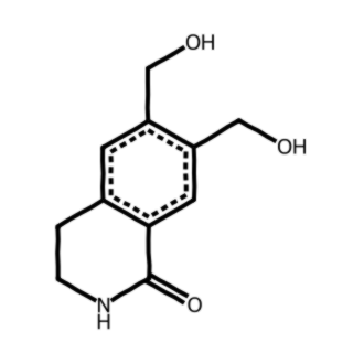 O=C1NCCc2cc(CO)c(CO)cc21